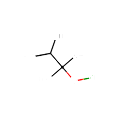 CC(C)C(C)(C)OCl